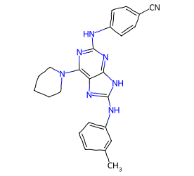 Cc1cccc(Nc2nc3c(N4CCCCC4)nc(Nc4ccc(C#N)cc4)nc3[nH]2)c1